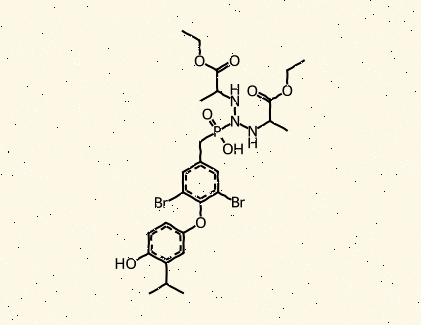 CCOC(=O)C(C)NN(NC(C)C(=O)OCC)P(=O)(O)Cc1cc(Br)c(Oc2ccc(O)c(C(C)C)c2)c(Br)c1